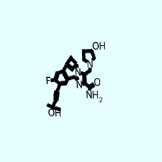 CC(C)(O)C#Cc1cc2c(cc1F)C1=CC(C1)n1c-2nc(C(N)=O)c1CN1CCC(O)C1